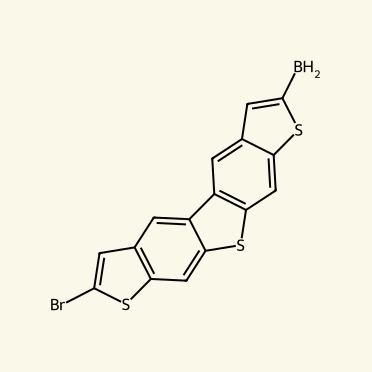 Bc1cc2cc3c(cc2s1)sc1cc2sc(Br)cc2cc13